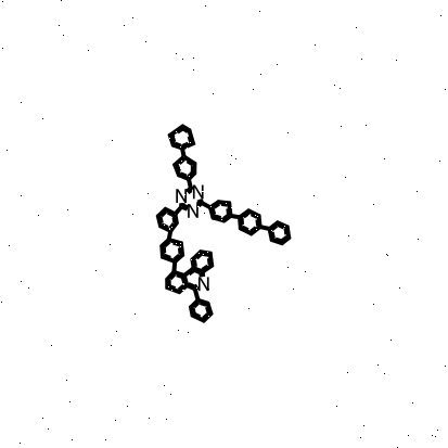 c1ccc(-c2ccc(-c3ccc(-c4nc(-c5ccc(-c6ccccc6)cc5)nc(-c5cccc(-c6ccc(-c7cccc8c(-c9ccccc9)nc9ccccc9c78)cc6)c5)n4)cc3)cc2)cc1